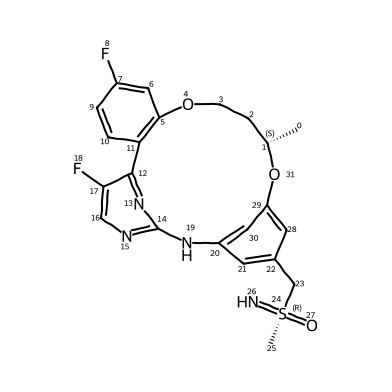 C[C@H]1CCOc2cc(F)ccc2-c2nc(ncc2F)Nc2cc(C[S@](C)(=N)=O)cc(c2)O1